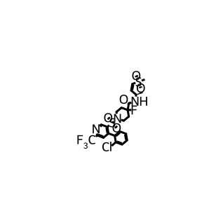 C[C@H](/C=C\S(C)(=O)=O)NC(=O)C1(F)CCN(S(=O)(=O)c2cnc(C(F)(F)F)cc2-c2ccccc2Cl)CC1